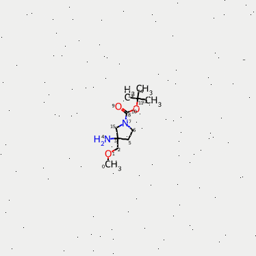 COCC1(N)CCN(C(=O)OC(C)(C)C)C1